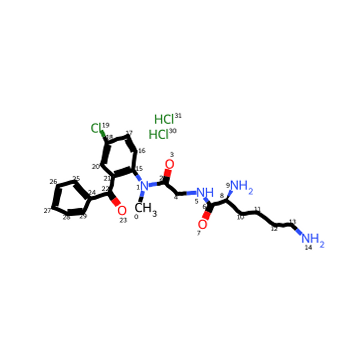 CN(C(=O)CNC(=O)[C@@H](N)CCCCN)c1ccc(Cl)cc1C(=O)c1ccccc1.Cl.Cl